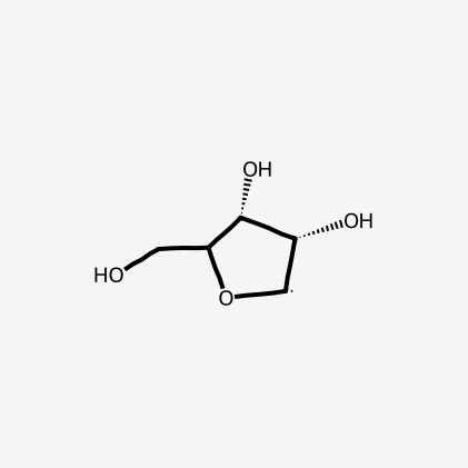 OCC1O[CH][C@@H](O)[C@H]1O